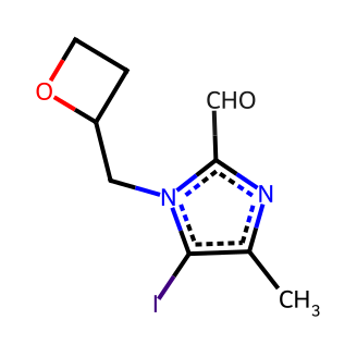 Cc1nc(C=O)n(CC2CCO2)c1I